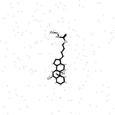 C=C(NSC(C)(C)C)OCCCCC1CCC2C1CC[C@H]1C2C[C@H](CC)C2CCCCC21C